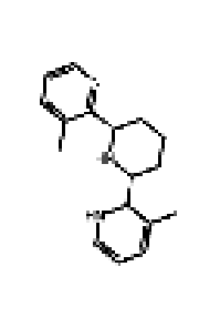 CC1=CC=CNC1[C@@H]1CCC[C@H](c2ncccc2C)N1